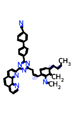 C=Nc1c(/C=C\Cc2nc(-c3ccc(-c4ccc(C#N)cc4)cc3)nc(-c3ccc4ccc5cccnc5c4n3)n2)cc/c(=C/C=C\C)c1=C